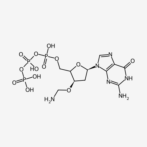 NCO[C@@H]1C[C@H](n2cnc3c(=O)[nH]c(N)nc32)OC1COP(=O)(O)OP(=O)(O)OP(=O)(O)O